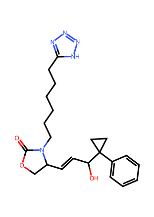 O=C1OCC(C=CC(O)C2(c3ccccc3)CC2)N1CCCCCCc1nnn[nH]1